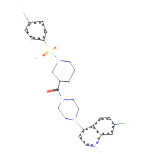 O=C(C1CCCN(S(=O)(=O)c2ccc(O)cc2)C1)N1CCN(c2ccnc3cc(Cl)ccc23)CC1